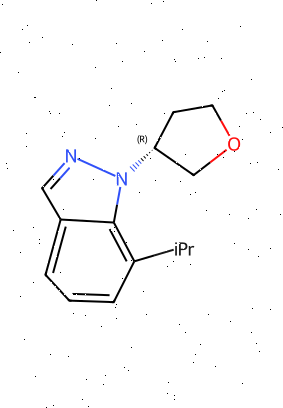 CC(C)c1cccc2cnn([C@@H]3CCOC3)c12